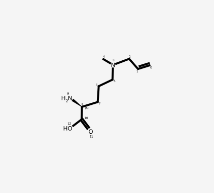 C=CCN(C)CCC[C@H](N)C(=O)O